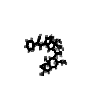 C[C@H]1CN2C[C@H]3CC3[C@H]2CN1C(=O)N1Cc2c(NC(=O)c3ccccn3)n[nH]c2C1(C)C